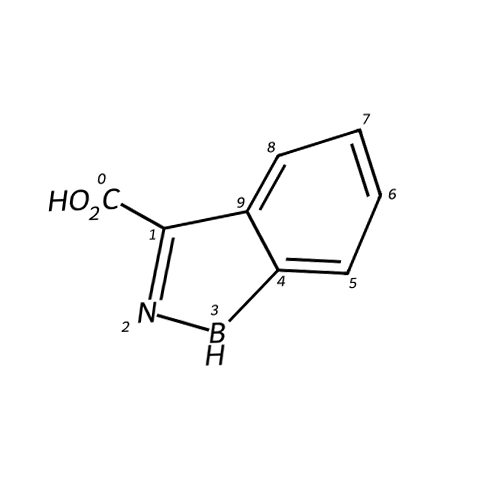 O=C(O)C1=NBc2ccccc21